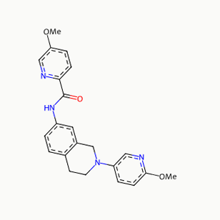 COc1ccc(C(=O)Nc2ccc3c(c2)CN(c2ccc(OC)nc2)CC3)nc1